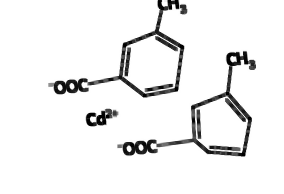 Cc1cccc(C(=O)[O-])c1.Cc1cccc(C(=O)[O-])c1.[Cd+2]